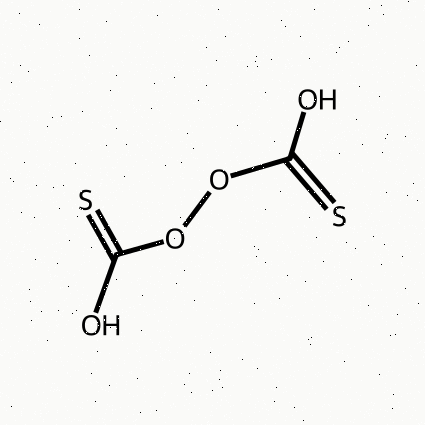 OC(=S)OOC(O)=S